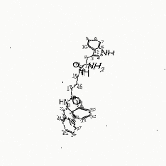 NC(Cc1c[nH]c2ccccc12)C(=O)NCCCC(=O)NC(Cc1ccccn1)c1ccccc1